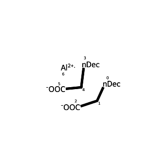 CCCCCCCCCCCC(=O)[O-].CCCCCCCCCCCC(=O)[O-].[Al+2]